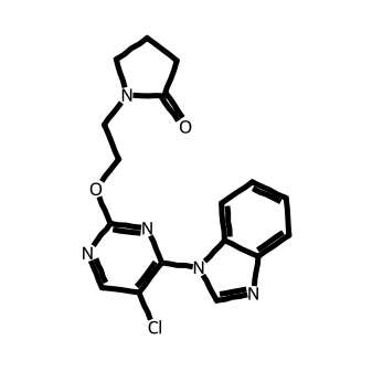 O=C1CCCN1CCOc1ncc(Cl)c(-n2cnc3ccccc32)n1